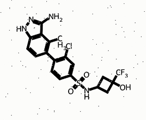 Cc1c(-c2ccc(S(=O)(=O)NC3CC(O)(C(F)(F)F)C3)cc2Cl)ccc2[nH]nc(N)c12